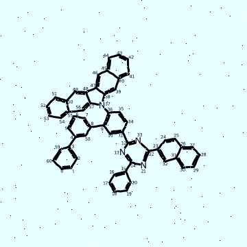 c1ccc(-c2cccc(-c3cc(-c4nc(-c5ccccc5)nc(-c5ccc6ccccc6c5)n4)ccc3-n3c4cc5ccccc5cc4c4cc5ccccc5cc43)c2)cc1